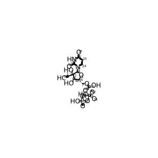 C#C[C@]1(O)[C@H](O)[C@@H](COP(=O)(O)OP(=O)(O)OP(=O)(O)O)O[C@@H]1n1ccc(=O)[nH]c1=O